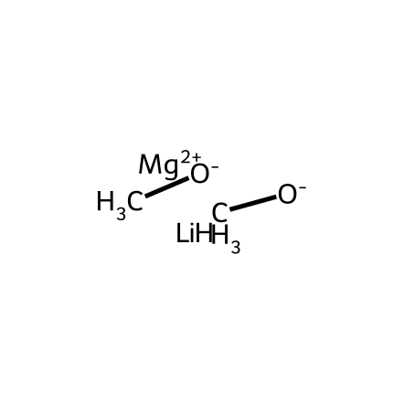 C[O-].C[O-].[LiH].[Mg+2]